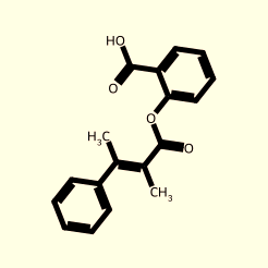 CC(C(=O)Oc1ccccc1C(=O)O)=C(C)c1ccccc1